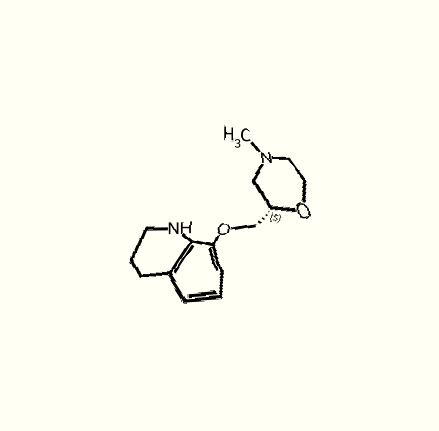 CN1CCO[C@H](COc2cccc3c2NCCC3)C1